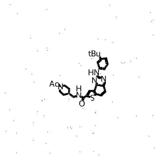 CC(=O)N1CCC(CNC(=O)c2cc3c(ccc4cnc(Nc5cccc(C(C)(C)C)c5)nc43)s2)CC1